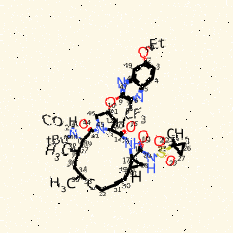 CCOc1ccc2nc(C(F)(F)F)c(O[C@@H]3C[C@H]4C(=O)N[C@]5(C(=O)NS(=O)(=O)C6(C)CC6)C[C@H]5C=CCC[C@@H](C)C[C@@H](C)[C@H](N(C(=O)O)C(C)(C)C)C(=O)N4C3)nc2c1